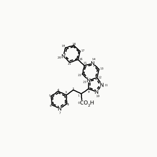 O=C(O)C(Cc1cccnc1)c1nnc2cnc(-c3cccnc3)cn12